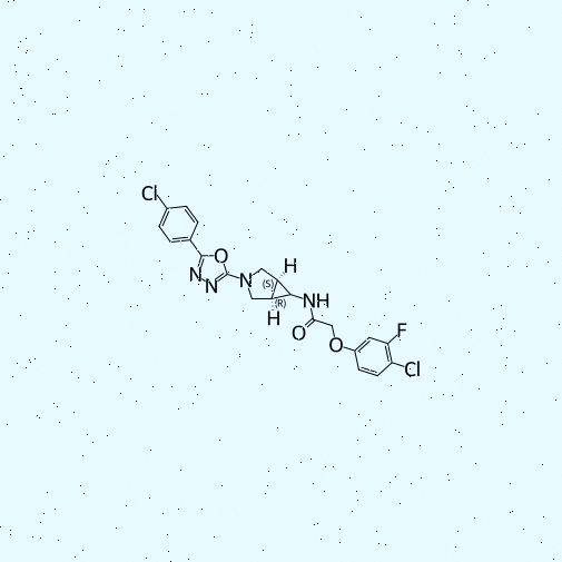 O=C(COc1ccc(Cl)c(F)c1)NC1[C@H]2CN(c3nnc(-c4ccc(Cl)cc4)o3)C[C@@H]12